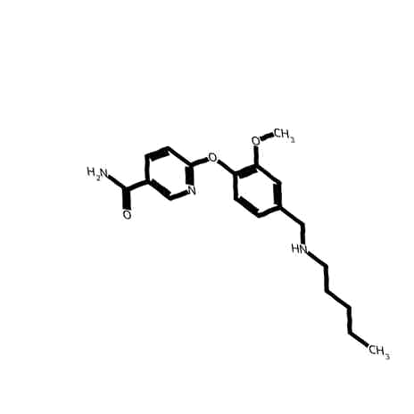 CCCCCNCc1ccc(Oc2ccc(C(N)=O)cn2)c(OC)c1